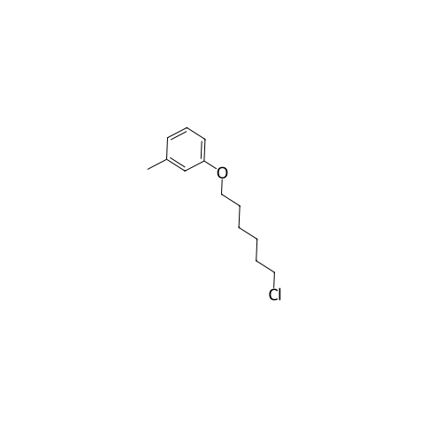 Cc1cccc(OCCCCCCCl)c1